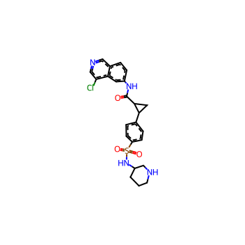 O=C(Nc1ccc2cncc(Cl)c2c1)C1CC1c1ccc(S(=O)(=O)NC2CCCNC2)cc1